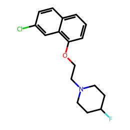 FC1CCN(CCOc2cccc3ccc(Cl)cc23)CC1